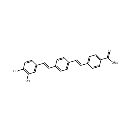 COC(=O)c1ccc(C=Cc2ccc(C=Cc3ccc(O)c(O)c3)cc2)cc1